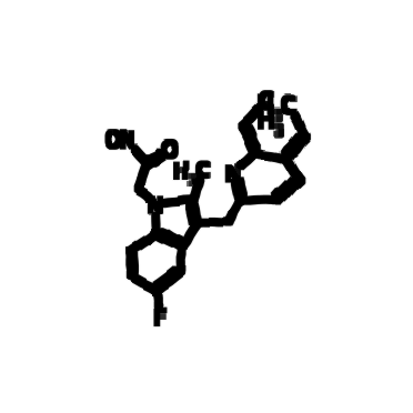 C/C=c1/ccc(Cc2c(C)n(CC(=O)N=O)c3ccc(F)cc23)n/c1=C/C